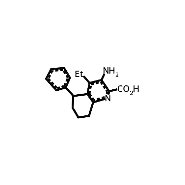 CCc1c(N)c(C(=O)O)nc2c1C(c1ccccc1)CCC2